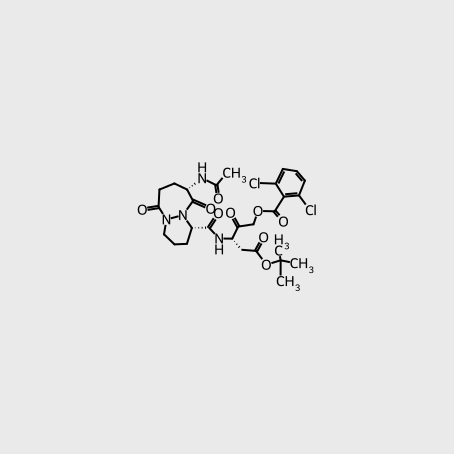 CC(=O)N[C@H]1CCC(=O)N2CCC[C@@H](C(=O)N[C@@H](CC(=O)OC(C)(C)C)C(=O)COC(=O)c3c(Cl)cccc3Cl)N2C1=O